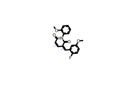 COc1ccc(F)c(/C=C(/C=C\C=O)C(=O)Nc2ccccc2OC)c1